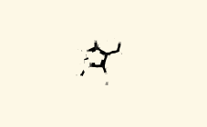 CCOc1c(CO)c(C(F)(F)F)nn1C